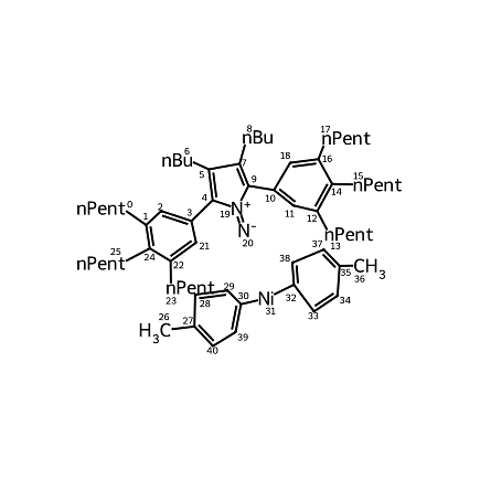 CCCCCc1cc(C2=C(CCCC)C(CCCC)=C(c3cc(CCCCC)c(CCCCC)c(CCCCC)c3)[N+]2=[N-])cc(CCCCC)c1CCCCC.Cc1cc[c]([Ni][c]2ccc(C)cc2)cc1